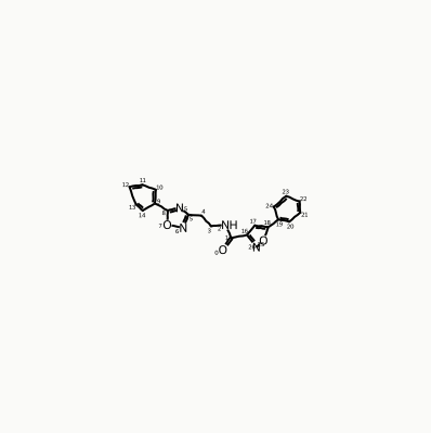 O=C(NCCc1noc(-c2ccccc2)n1)c1cc(-c2ccccc2)on1